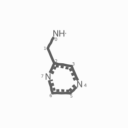 [NH]Cc1cnccn1